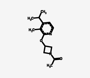 CC(=O)N1CC(Oc2nccc(C(C)C)c2C)C1